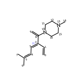 C=C/C(=C\C=C(C)C)C(=C)N1CCN(C)CC1